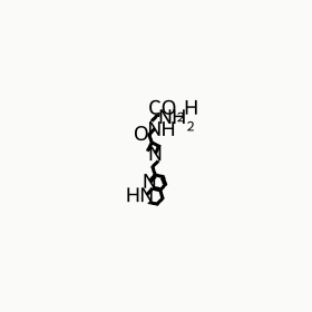 NC(CNC(=O)C1CN(CCc2ccc3c(n2)NCCC3)C1)C(=O)O